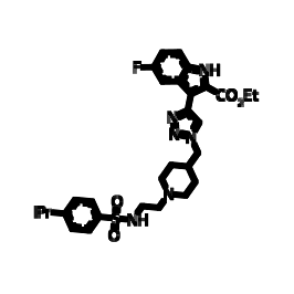 CCOC(=O)c1[nH]c2ccc(F)cc2c1-c1cn(CC2CCN(CCNS(=O)(=O)c3ccc(C(C)C)cc3)CC2)nn1